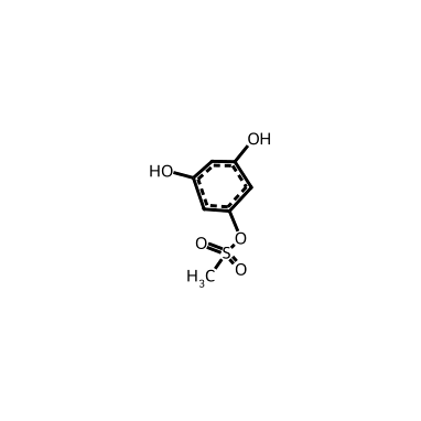 CS(=O)(=O)Oc1cc(O)cc(O)c1